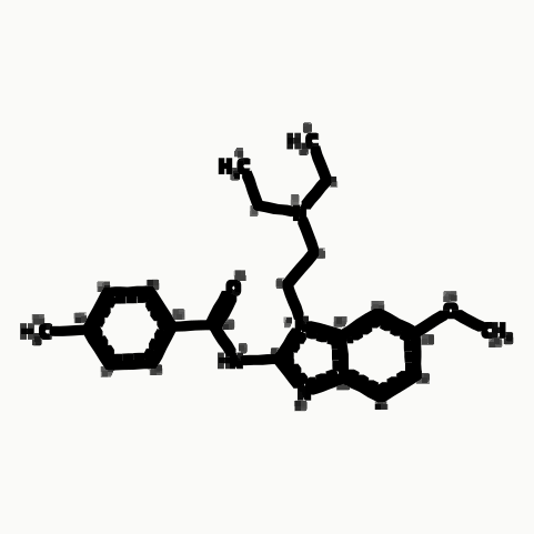 CCN(CC)CCn1c(NC(=O)c2ccc(C)cc2)nc2ccc(OC)cc21